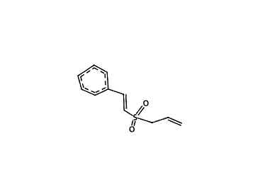 C=CCS(=O)(=O)C=Cc1ccccc1